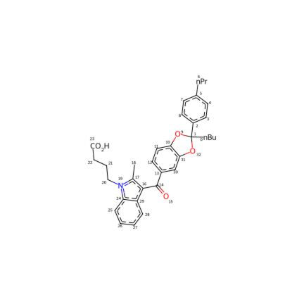 CCCCC1(c2ccc(CCC)cc2)Oc2ccc(C(=O)c3c(C)n(CCCC(=O)O)c4ccccc34)cc2O1